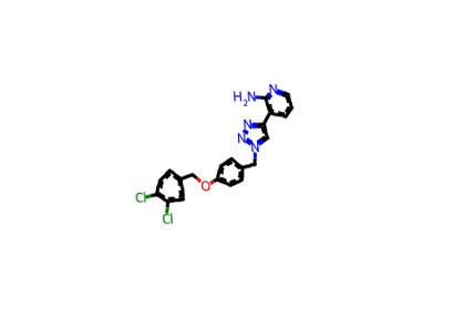 Nc1ncccc1-c1cn(Cc2ccc(OCc3ccc(Cl)c(Cl)c3)cc2)nn1